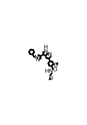 COCCNC(=O)c1ccc(-c2cnc3[nH]cc(-c4cnn(Cc5ccccc5)c4)c3c2)cc1OC